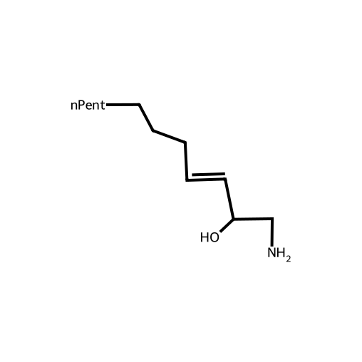 CCCCCCCCC=CC(O)CN